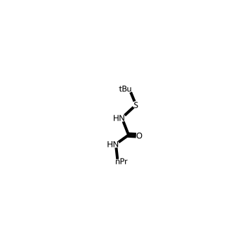 CCCNC(=O)NSC(C)(C)C